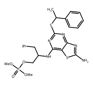 COP(=O)(OC)OCC(CC(C)C)Nc1nc(SC(C)c2ccccc2)nc2nc(N)sc12